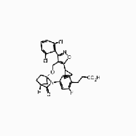 O=C(O)CCc1ccc(N2C(=O)[C@@H]3CC[C@]2(OCc2c(-c4c(Cl)cccc4Cl)noc2C2CC2)C3)cc1F